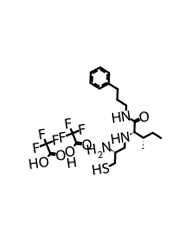 CC[C@H](C)[C@H](NC[C@@H](N)CS)C(=O)NCCCc1ccccc1.O=C(O)C(F)(F)F.O=C(O)C(F)(F)F